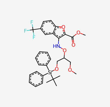 COCC(CO[Si](c1ccccc1)(c1ccccc1)C(C)(C)C)ONc1c(C(=O)OC)oc2ccc(C(F)(F)F)cc12